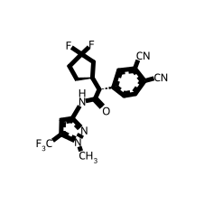 Cn1nc(NC(=O)[C@@H](c2ccc(C#N)c(C#N)c2)[C@H]2CCC(F)(F)C2)cc1C(F)(F)F